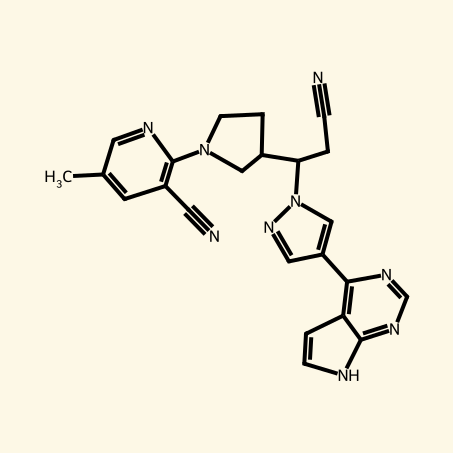 Cc1cnc(N2CCC(C(CC#N)n3cc(-c4ncnc5[nH]ccc45)cn3)C2)c(C#N)c1